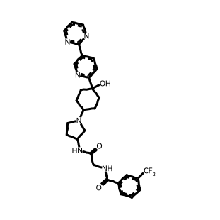 O=C(CNC(=O)c1cccc(C(F)(F)F)c1)NC1CCN(C2CCC(O)(c3ccc(-c4ncccn4)cn3)CC2)C1